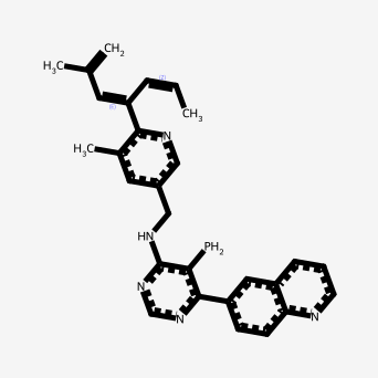 C=C(C)/C=C(\C=C/C)c1ncc(CNc2ncnc(-c3ccc4ncccc4c3)c2P)cc1C